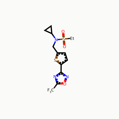 CCS(=O)(=O)N(Cc1ccc(-c2noc(C(F)(F)F)n2)s1)C1CC1